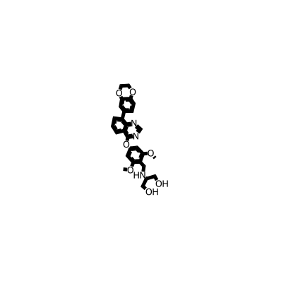 COc1cc(Oc2ncnc3c(-c4ccc5c(c4)OCCO5)cccc23)cc(OC)c1CNC(CO)CO